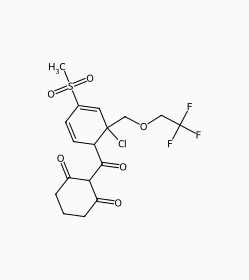 CS(=O)(=O)C1=CC(Cl)(COCC(F)(F)F)C(C(=O)C2C(=O)CCCC2=O)C=C1